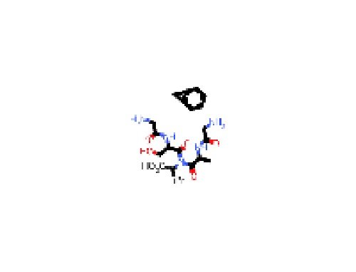 CC(NC(=O)CN)C(=O)N(C(=O)C(CO)NC(=O)CN)C(C(=O)O)C(C)C.c1ccc2c(c1)C2